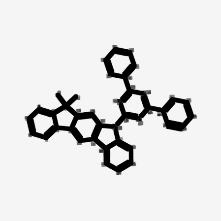 CC1(C)c2ccccc2-c2cc3c4ccccc4n(-c4nc(-c5c#cccc5)nc(-c5ccccc5)n4)c3cc21